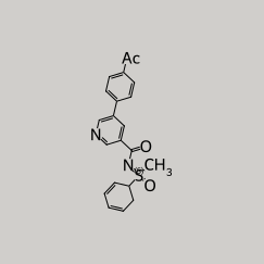 CC(=O)c1ccc(-c2cncc(C(=O)N=[S@@](C)(=O)C3C=CC=CC3)c2)cc1